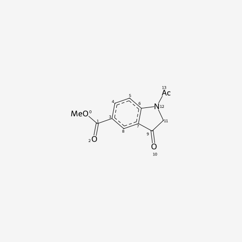 COC(=O)c1ccc2c(c1)C(=O)CN2C(C)=O